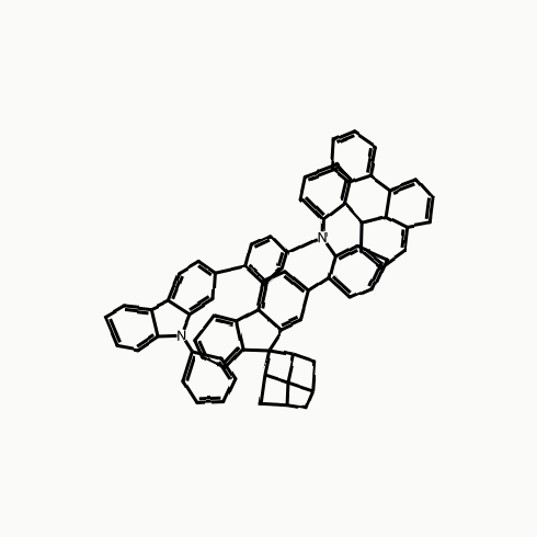 C1=CC2=CC=CC(c3ccccc3N(c3ccc(-c4ccc5c6ccccc6n(-c6ccccc6)c5c4)cc3)c3ccccc3-c3ccc4c(c3)C3(c5ccccc5-4)C4CC5CC6CC3C564)C2C(c2ccccc2)=C1